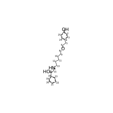 Oc1ccc(CCOCCCCCCNCC(O)c2ccccc2)cc1